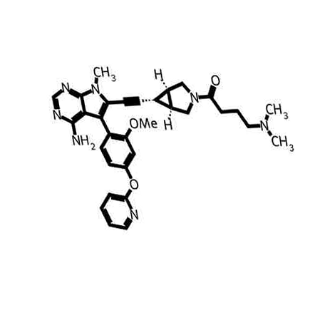 COc1cc(Oc2ccccn2)ccc1-c1c(C#C[C@@H]2[C@H]3CN(C(=O)CCCN(C)C)C[C@@H]23)n(C)c2ncnc(N)c12